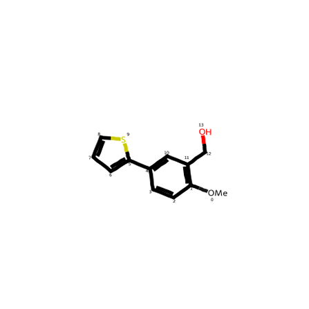 COc1ccc(-c2cccs2)cc1CO